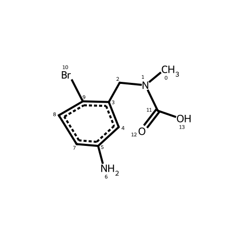 CN(Cc1cc(N)ccc1Br)C(=O)O